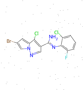 N/C(=N\c1c(F)cccc1Cl)c1cnn2cc(Br)cc2c1Cl